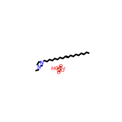 CCCCCCCCC=CCCCCCCCCN1CCN(CC)C1.COS(=O)(=O)O